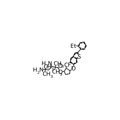 CCc1ccccc1-c1cc2ccc(OC3CCC(OC(=O)C(C)(C)C(N)CC(C)(C)N)C3C(F)(F)F)cc2s1